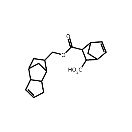 O=C(O)C1C2C=CC(C2)C1C(=O)OCC1CC2CC1C1CC=CC21